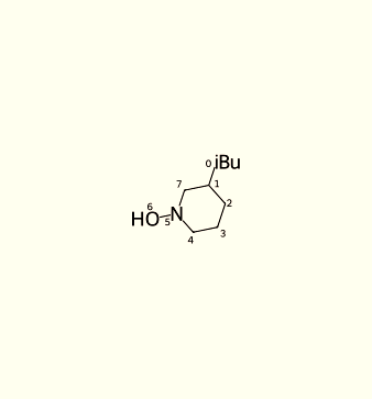 CCC(C)C1CCCN(O)C1